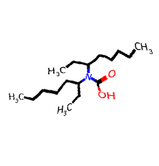 CCCCCC(CC)N(C(=O)O)C(CC)CCCCC